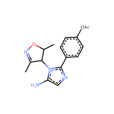 CC(=O)Oc1ccc(-c2ncc(N)n2C2C(C)=NOC2C)cc1